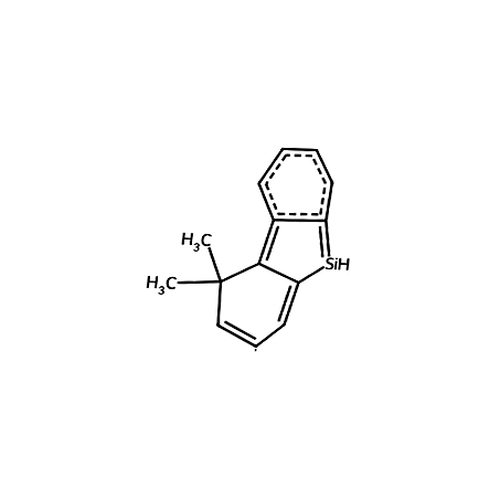 CC1(C)C=[C]C=C2[SiH]=c3ccccc3=C21